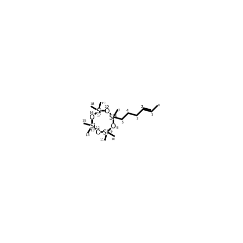 C/C=C/CCC[Si]1(C)O[Si](C)(C)O[Si](C)(C)O[Si](C)(C)O1